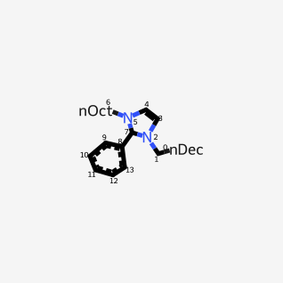 CCCCCCCCCCCN1C=CN(CCCCCCCC)C1c1ccccc1